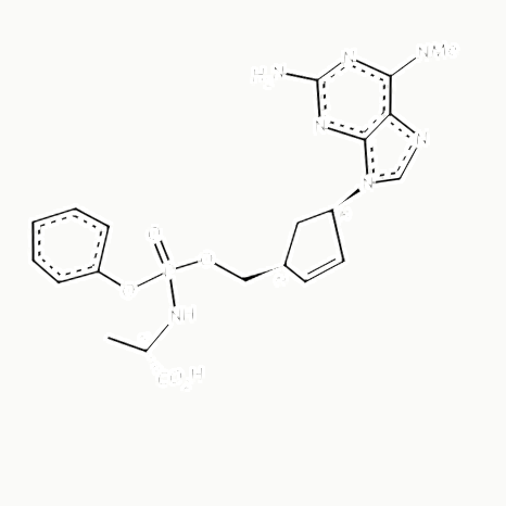 CNc1nc(N)nc2c1ncn2[C@H]1C=C[C@@H](COP(=O)(N[C@@H](C)C(=O)O)Oc2ccccc2)C1